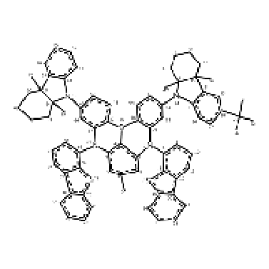 Cc1cc2c3c(c1)N(c1cccc4c1sc1ccccc14)c1cc(N4c5ccc(C(C)(C)C)cc5C5(C)CCCCC45C)ccc1B3c1ccc(N3c4ccccc4C4(C)CCCCC34C)cc1N2c1cccc2c1sc1ccccc12